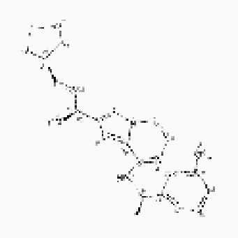 C[C@@H](Nc1nccn2cc([C@@H](O)NC[C@H]3CCOC3)nc12)c1cccc(C(F)(F)F)c1